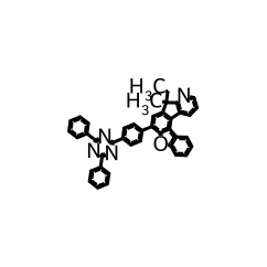 CCC1(C)c2cc(-c3ccc(-c4nc(-c5ccccc5)nc(-c5ccccc5)n4)cc3)c3oc4ccccc4c3c2-c2cccnc21